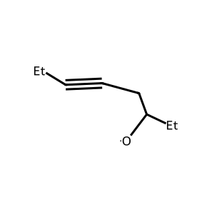 CCC#CCC([O])CC